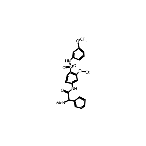 CCOc1cc(NC(=O)C(NC)c2ccccc2)ccc1S(=O)(=O)Nc1cccc(OC(F)(F)F)c1